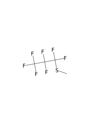 CSC(F)(F)C(F)(F)C(F)(F)F